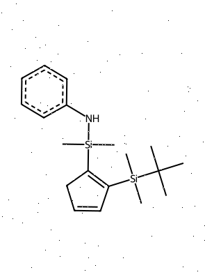 CC(C)(C)[Si](C)(C)C1=C([Si](C)(C)Nc2ccccc2)CC=C1